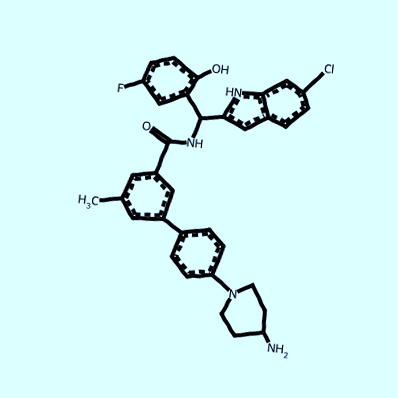 Cc1cc(C(=O)NC(c2cc3ccc(Cl)cc3[nH]2)c2cc(F)ccc2O)cc(-c2ccc(N3CCC(N)CC3)cc2)c1